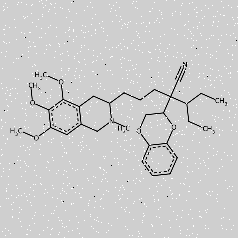 CCC(CC)C(C#N)(CCCC1Cc2c(cc(OC)c(OC)c2OC)CN1C)C1COc2ccccc2O1